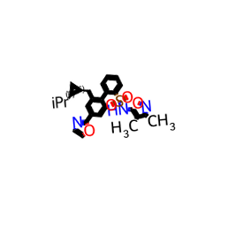 Cc1noc(NS(=O)(=O)c2ccccc2-c2ccc(-c3ncco3)cc2C[C@@H]2C[C@@H]2C(C)C)c1C